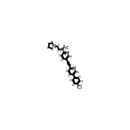 CC(=O)N(CCN1CCCC1)c1ccc(C#Cc2ccc(-c3ccc(Cl)cc3)cn2)cn1